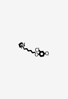 COc1ccc(OCCCCCCn2cccn2)c(Cl)c1